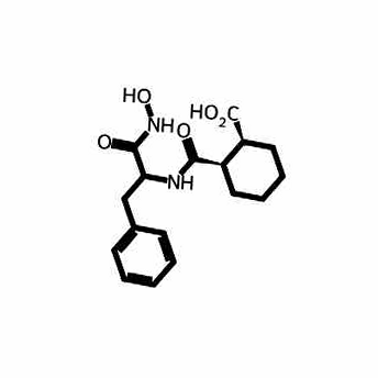 O=C(NO)C(Cc1ccccc1)NC(=O)[C@@H]1CCCC[C@@H]1C(=O)O